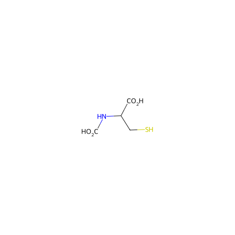 O=C(O)NC(CS)C(=O)O